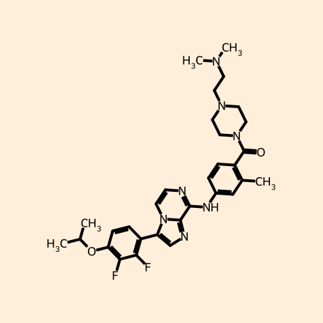 Cc1cc(Nc2nccn3c(-c4ccc(OC(C)C)c(F)c4F)cnc23)ccc1C(=O)N1CCN(CCN(C)C)CC1